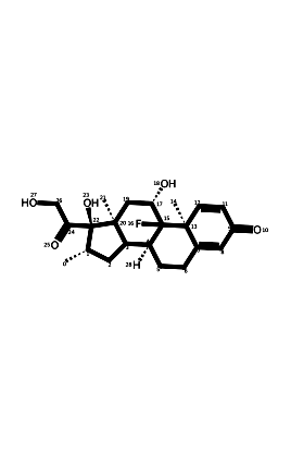 C[C@H]1CC2[C@@H]3CCC4=CC(=O)C=C[C@]4(C)C3(F)[C@@H](O)C[C@]2(C)[C@@]1(O)C(=O)CO